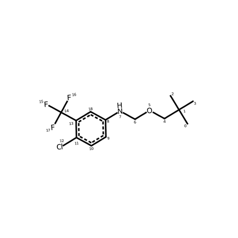 CC(C)(C)COCNc1ccc(Cl)c(C(F)(F)F)c1